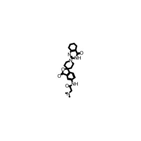 CN(C)CC(=O)Nc1ccc2c(c1)C(=O)OC21CCN(c2nc3c(c(=O)[nH]2)CCCC3)CC1